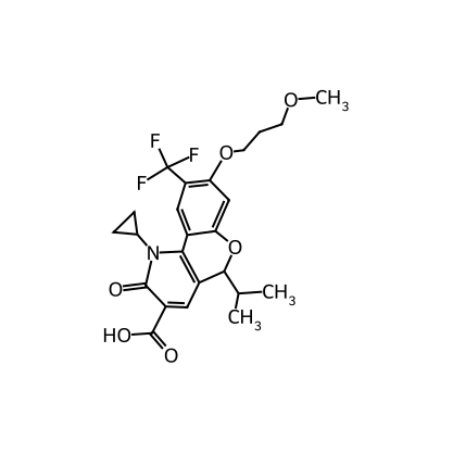 COCCCOc1cc2c(cc1C(F)(F)F)-c1c(cc(C(=O)O)c(=O)n1C1CC1)C(C(C)C)O2